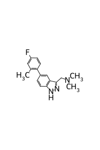 Cc1cc(F)ccc1-c1ccc2[nH]nc(CN(C)C)c2c1